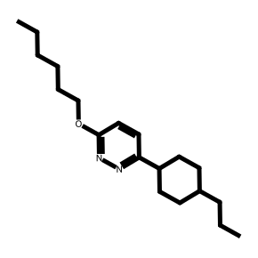 CCCCCCOc1ccc(C2CCC(CCC)CC2)nn1